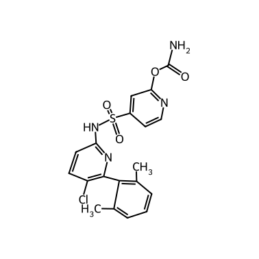 Cc1cccc(C)c1-c1nc(NS(=O)(=O)c2ccnc(OC(N)=O)c2)ccc1Cl